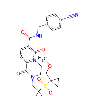 COCC1(S(=O)(=O)C2(CN3CCn4c(ccc(C(=O)NCc5ccc(C#N)cc5)c4=O)C3=O)CC2)CC1